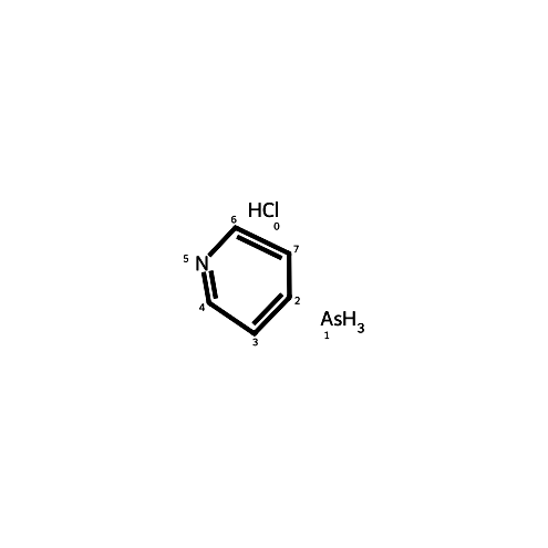 Cl.[AsH3].c1ccncc1